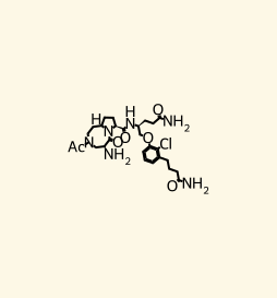 CC(=O)N1CC[C@H]2CC[C@@H](C(=O)N[C@@H](CCC(N)=O)COc3cccc(CCCC(N)=O)c3Cl)N2C(=O)[C@@H](N)C1